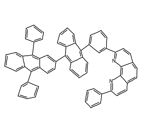 c1ccc(-c2ccc3ccc4ccc(-c5cccc(-c6c7ccccc7c(-c7ccc8c(-c9ccccc9)c9ccccc9c(-c9ccccc9)c8c7)c7ccccc67)c5)nc4c3n2)cc1